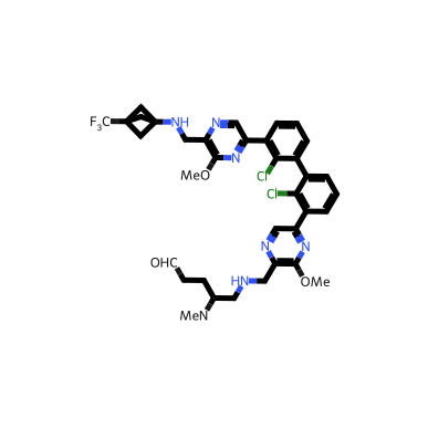 CNC(CCC=O)CNCc1ncc(-c2cccc(-c3cccc(-c4cnc(CNC56CC(C(F)(F)F)(C5)C6)c(OC)n4)c3Cl)c2Cl)nc1OC